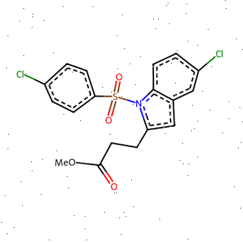 COC(=O)CCc1cc2cc(Cl)ccc2n1S(=O)(=O)c1ccc(Cl)cc1